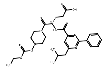 CCOC(=O)ON1CCN(C(=O)[C@H](CCC(=O)O)NC(=O)c2cc(CC(C)C)nc(-c3ccccc3)n2)CC1